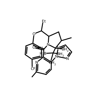 BC(B)(B)C1(B)C(C)CC(C(CC)Oc2ccc(C(F)(F)F)cn2)N1C(=O)c1nc(C)ccc1-n1nccn1